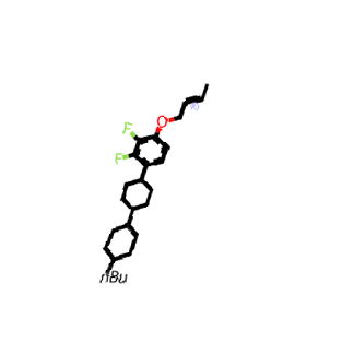 C/C=C/COc1ccc(C2CCC(C3CCC(CCCC)CC3)CC2)c(F)c1F